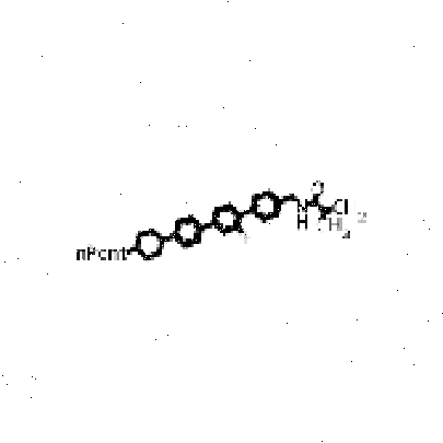 C=C(C)C(=O)NCc1ccc(-c2ccc(-c3ccc(C4CCC(CCCCC)CC4)cc3)cc2F)cc1